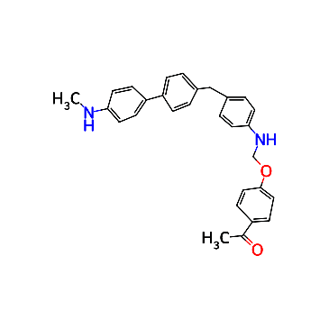 CNc1ccc(-c2ccc(Cc3ccc(NCOc4ccc(C(C)=O)cc4)cc3)cc2)cc1